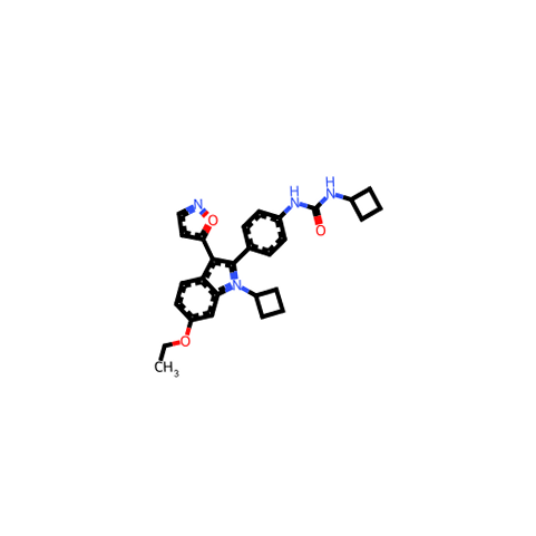 CCOc1ccc2c(-c3ccno3)c(-c3ccc(NC(=O)NC4CCC4)cc3)n(C3CCC3)c2c1